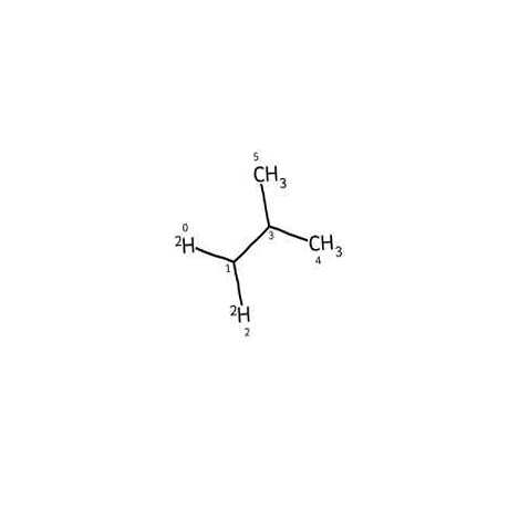 [2H]C([2H])C(C)C